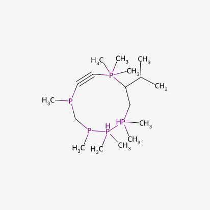 CC(C)C1C[PH](C)(C)[PH](C)(C)P(C)CP(C)C#CP1(C)(C)C